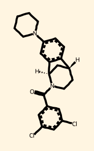 O=C(c1cc(Cl)cc(Cl)c1)N1CC[C@@H]2C[C@@H]1c1cc(N3CCCCC3)ccc12